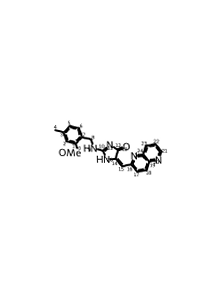 COc1cc(C)ccc1CNC1=NC(=O)C(=Cc2ccc3ncccc3n2)N1